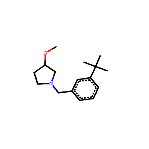 COC1CCN(Cc2cccc(C(C)(C)C)c2)C1